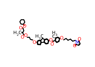 C=C(CC(=O)OC1CCCCC1)C(=O)OCCCCOc1ccc2c(c1)C(C)c1cc(OC(=O)c3ccc(OCCCCCCN4C(=O)C=CC4=O)cc3C)ccc1-2